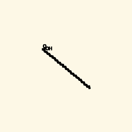 C=C(CCCCCCCCCCCCCCCCCCCCCCCCCCCCCCCCCCC)C(=O)O